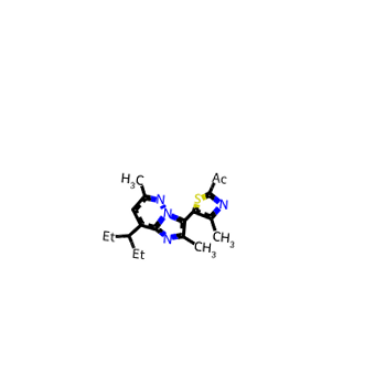 CCC(CC)c1cc(C)nn2c(-c3sc(C(C)=O)nc3C)c(C)nc12